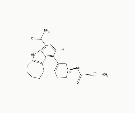 CC#CC(=O)N[C@H]1CCC=C(c2c(F)cc(C(N)=O)c3[nH]c4c(c23)CCCCC4)C1